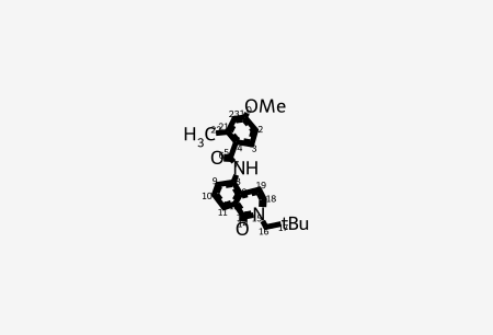 COc1ccc(C(=O)Nc2cccc3c(=O)n(CC(C)(C)C)ccc23)c(C)c1